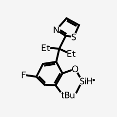 CCC(CC)(c1nccs1)c1cc(F)cc(C(C)(C)C)c1O[SiH](C)C